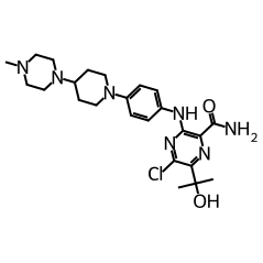 CN1CCN(C2CCN(c3ccc(Nc4nc(Cl)c(C(C)(C)O)nc4C(N)=O)cc3)CC2)CC1